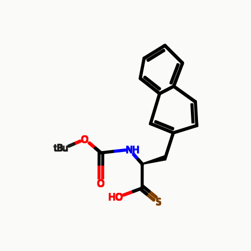 CC(C)(C)OC(=O)N[C@@H](Cc1ccc2ccccc2c1)C(O)=S